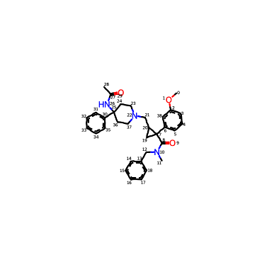 COc1cccc(C2(C(=O)N(C)Cc3ccccc3)CC2CN2CCC(NC(C)=O)(c3ccccc3)CC2)c1